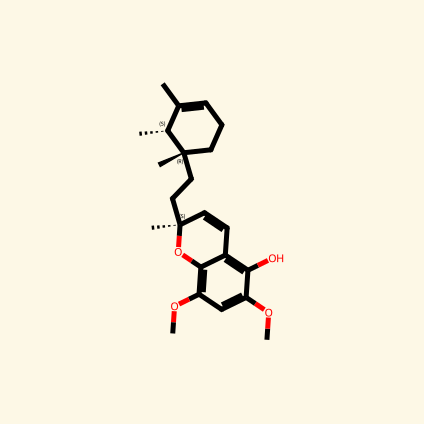 COc1cc(OC)c2c(c1O)C=C[C@](C)(CC[C@@]1(C)CCC=C(C)[C@H]1C)O2